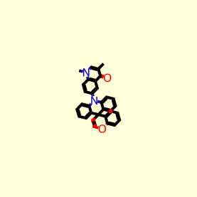 Cc1cn(C)c2ccc(N3c4ccccc4C4(c5ccccc5Oc5ccccc54)c4ccccc43)cc2c1=O